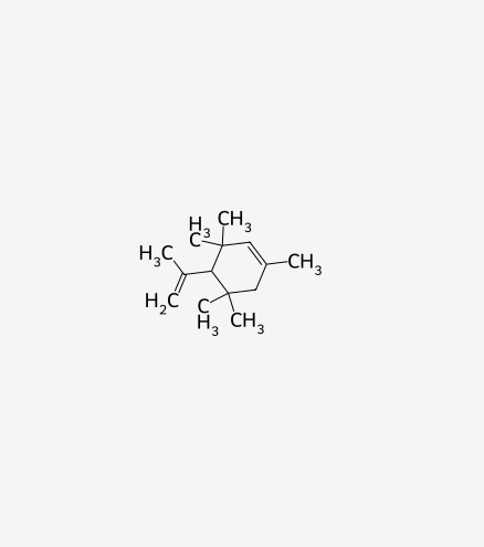 C=C(C)C1C(C)(C)C=C(C)CC1(C)C